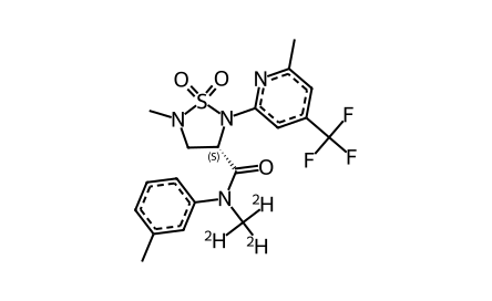 [2H]C([2H])([2H])N(C(=O)[C@@H]1CN(C)S(=O)(=O)N1c1cc(C(F)(F)F)cc(C)n1)c1cccc(C)c1